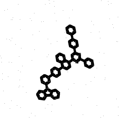 c1ccc(-c2ccc(-c3cc(-c4ccc(-c5ccc(-c6cccc(-n7c8ccccc8c8ccccc87)c6)cc5)c5ccccc45)nc(-c4ccccc4)n3)cc2)cc1